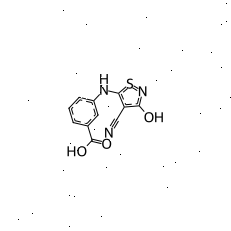 N#Cc1c(O)nsc1Nc1cccc(C(=O)O)c1